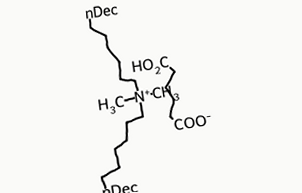 CCCCCCCCCCCCCCCC[N+](C)(C)CCCCCCCCCCCCCCCC.O=C([O-])CCCCC(=O)O